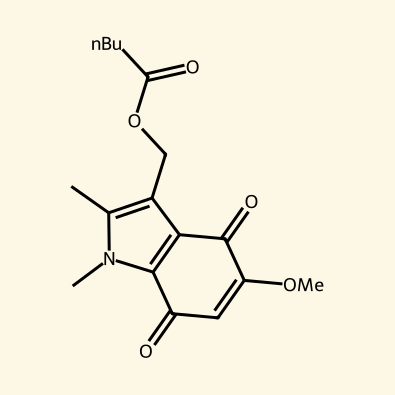 CCCCC(=O)OCc1c2c(n(C)c1C)C(=O)C=C(OC)C2=O